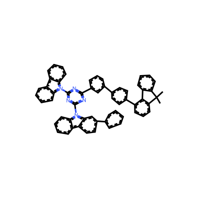 CC1(C)c2ccccc2-c2c(-c3ccc(-c4cccc(-c5nc(-n6c7ccccc7c7ccccc76)nc(-n6c7ccccc7c7ccc(-c8ccccc8)cc76)n5)c4)cc3)cccc21